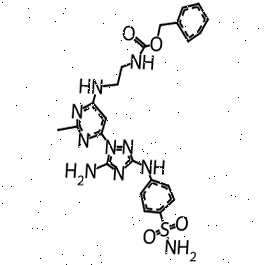 Cc1nc(NCCNC(=O)OCc2ccccc2)cc(-n2nc(Nc3ccc(S(N)(=O)=O)cc3)nc2N)n1